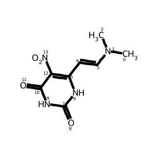 CN(C)/C=C/c1[nH]c(=O)[nH]c(=O)c1[N+](=O)[O-]